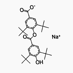 CC(C)(C)c1cc(C(=O)Oc2c(C(C)(C)C)cc(C(=O)[O-])cc2C(C)(C)C)cc(C(C)(C)C)c1O.[Na+]